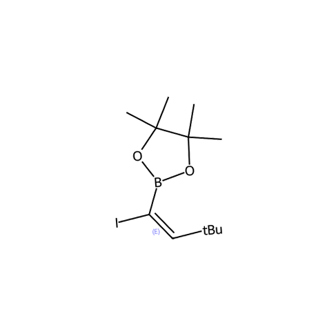 CC(C)(C)/C=C(/I)B1OC(C)(C)C(C)(C)O1